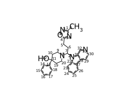 Cc1noc(CCC(N2CCC(O)(c3ccccc3)CC2)n2c3ccccc3c3ccncc32)n1